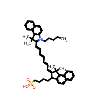 CCCCC[N+]1=C(/C=C/C=C/C=C/C=C2/C(CCCCS(=O)(=O)O)c3ccc4ccccc4c3C2(C)C)C(C)(C)c2c1ccc1ccccc21